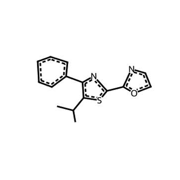 CC(C)c1sc(-c2ncco2)nc1-c1ccccc1